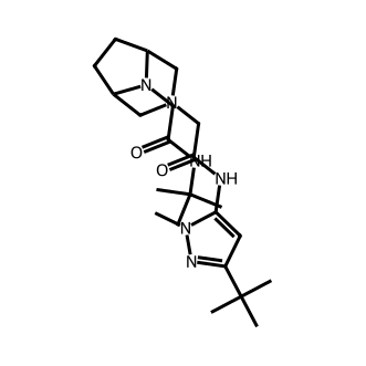 Cn1nc(C(C)(C)C)cc1NC(=O)CN1CC2CCC(C1)N2CC(=O)NC(C)(C)C